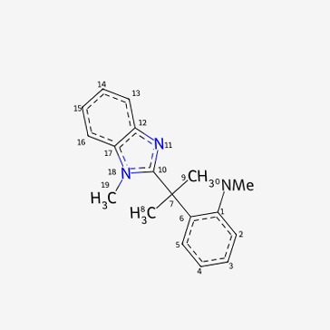 CNc1ccccc1C(C)(C)c1nc2ccccc2n1C